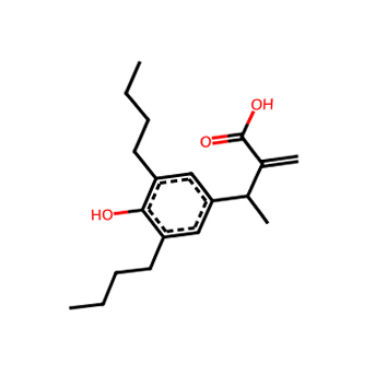 C=C(C(=O)O)C(C)c1cc(CCCC)c(O)c(CCCC)c1